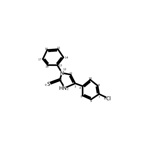 S=c1[nH]c(-c2ccc(Cl)cc2)cn1-c1ccccc1